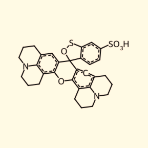 O=S(=O)(O)c1ccc2c(c1)SOC21c2cc3c4c(c2Oc2c1cc1c5c2CCCN5CCC1)CCCN4CCC3